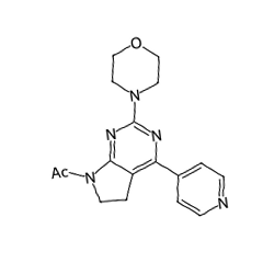 CC(=O)N1CCc2c(-c3ccncc3)nc(N3CCOCC3)nc21